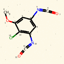 COc1cc(N=C=O)cc(N=C=O)c1Cl